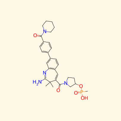 CC1(C)C(C(=O)N2CCC(OP(C)(=O)O)C2)=Cc2ccc(-c3ccc(C(=O)N4CCCCC4)cc3)cc2N=C1N